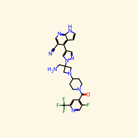 N#Cc1cnc2[nH]ccc2c1-c1cnn(C2(CN)CN(C3CCN(C(=O)c4cc(C(F)(F)F)ncc4F)CC3)C2)c1